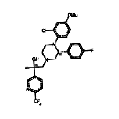 CC(C)COc1ccc(N2CCN(C[C@@](C)(O)c3ccc(C(F)(F)F)nc3)C[C@H]2c2ccc(F)cc2)c(Cl)c1